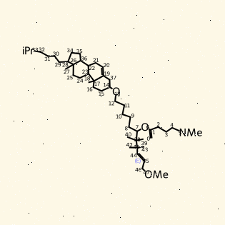 C=C(CCCNC)OC(CCCCCOC1CCC2(C)C(=CCC3C2CCC2(C)C(CCCCC(C)C)CCC32)C1)C(C)(C)C(C)(C)/C=C/COC